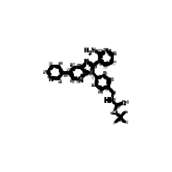 CC(C)(C)OC(=O)NCc1ccc(-n2c(-c3cccnc3N)nc3cc(-c4cccnc4)cnc32)cc1